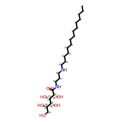 CCCCCCCCCCCCCCCNCCCNC(=O)[C@H](O)[C@@H](O)[C@H](O)[C@H](O)CO